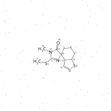 CSC1=NC2(CCCC3SC=CC32)C(=O)N1C